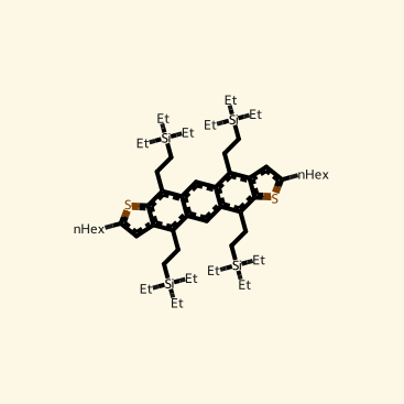 CCCCCCc1cc2c(CC[Si](CC)(CC)CC)c3cc4c(CC[Si](CC)(CC)CC)c5sc(CCCCCC)cc5c(CC[Si](CC)(CC)CC)c4cc3c(CC[Si](CC)(CC)CC)c2s1